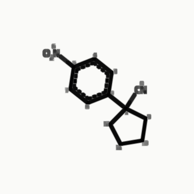 N#CC1(c2ccc([N+](=O)[O-])cc2)CCCC1